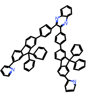 c1ccc(C2(c3ccccc3)c3cc(-c4ccc(-c5nc6ccccc6nc5-c5ccc(-c6ccc7c(c6)C(c6ccccc6)(c6ccccc6)c6cc(-c8ccccn8)ccc6-7)cc5)cc4)ccc3-c3ccc(-c4ccccn4)cc32)cc1